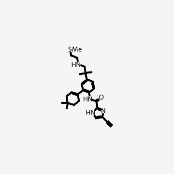 C#Cc1c[nH]c(C(=O)Nc2ccc(C(C)(C)CNCCSC)cc2C2=CCC(C)(C)CC2)n1